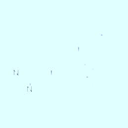 N#Cc1cc(-c2ccc(-c3cc4c(c5ccccc35)-c3c(ccc5ccccc35)C4(c3ccccc3)c3ccccc3)cc2)ccn1